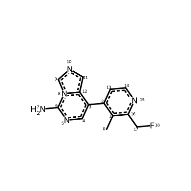 Cc1c(-c2cnc(N)n3cncc23)ccnc1CF